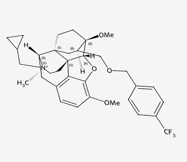 COc1ccc2c3c1O[C@H]1[C@@]4(OC)CC[C@@]5(C[C@@H]4COCc4ccc(C(F)(F)F)cc4)[C@@H](C2)[N@+](C)(CC2CC2)CC[C@]315